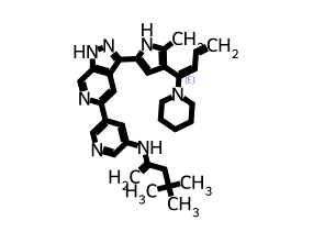 C=C/C=C(\c1cc(-c2n[nH]c3cnc(-c4cncc(NC(=C)CC(C)(C)C)c4)cc23)[nH]c1C)N1CCCCC1